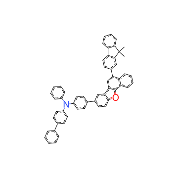 CC1(C)c2ccccc2-c2ccc(-c3cc4c5cc(-c6ccc(N(c7ccccc7)c7ccc(-c8ccccc8)cc7)cc6)ccc5oc4c4ccccc34)cc21